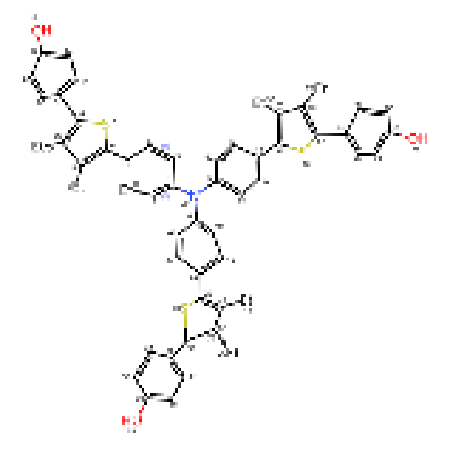 CC/C=C(\C=C/Cc1sc(-c2ccc(O)cc2)c(CC)c1CC)N(c1ccc(C2=C(CC)[C@@H](CC)C(c3ccc(O)cc3)S2)cc1)c1ccc(-c2sc(-c3ccc(O)cc3)c(CC)c2CC)cc1